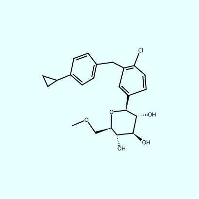 COC[C@H]1O[C@@H](c2ccc(Cl)c(Cc3ccc(C4CC4)cc3)c2)[C@H](O)[C@@H](O)[C@@H]1O